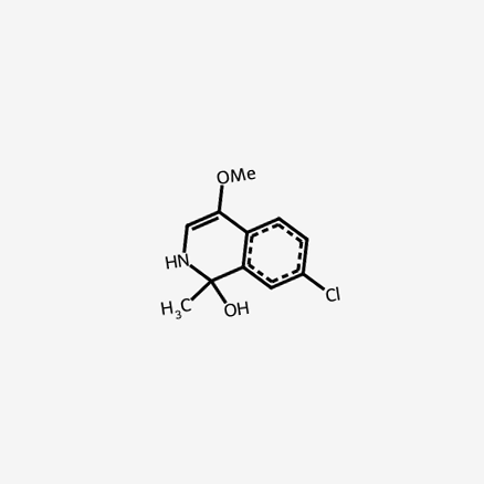 COC1=CNC(C)(O)c2cc(Cl)ccc21